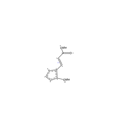 COC(=O)/C=C/c1sccc1OC